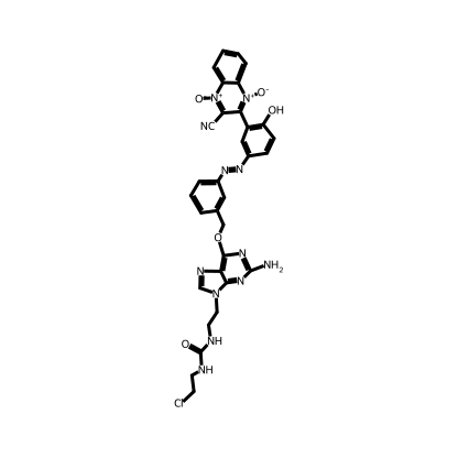 N#Cc1c(-c2cc(N=Nc3cccc(COc4nc(N)nc5c4ncn5CCNC(=O)NCCCl)c3)ccc2O)[n+]([O-])c2ccccc2[n+]1[O-]